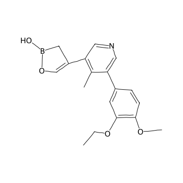 CCOc1cc(-c2cncc(C3=COB(O)C3)c2C)ccc1OC